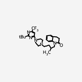 CC(CCN1CCN(c2cc(C(F)(F)F)nc(C(C)(C)C)n2)CC1)CN1C(=O)CCc2ccccc21